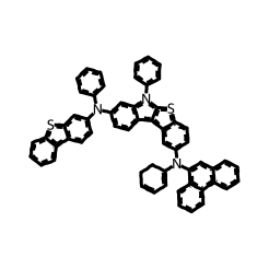 C1=CCCC(N(c2ccc3sc4c(c3c2)c2ccc(N(c3ccccc3)c3ccc5c(c3)sc3ccccc35)cc2n4-c2ccccc2)c2cc3ccccc3c3ccccc23)=C1